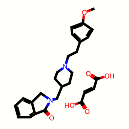 COc1ccc(CCN2CCC(CN3Cc4ccccc4C3=O)CC2)cc1.O=C(O)/C=C/C(=O)O